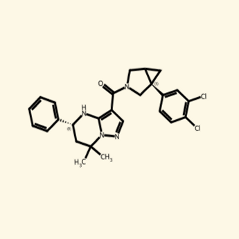 CC1(C)C[C@H](c2ccccc2)Nc2c(C(=O)N3CC4C[C@]4(c4ccc(Cl)c(Cl)c4)C3)cnn21